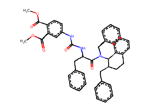 COC(=O)c1ccc(NC(=O)NC(Cc2ccccc2)C(=O)N(Cc2ccccc2)C2c3ccccc3CCC2Cc2ccccc2)cc1C(=O)OC